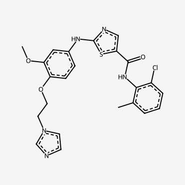 COc1cc(Nc2ncc(C(=O)Nc3c(C)cccc3Cl)s2)ccc1OCCn1ccnc1